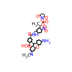 CN=c1ccc2c(-c3cc(C(=O)NCc4ccc([N+](=O)[O-])c(C(C)OC(=O)ON5C(=O)CCC5=O)c4)ccc3C(=O)O)c3ccc(N)cc3oc-2c1